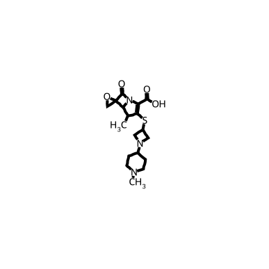 CC1C(SC2CN(C3CCN(C)CC3)C2)=C(C(=O)O)N2C(=O)C3(CO3)C12